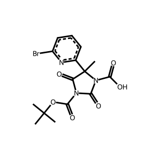 CC(C)(C)OC(=O)N1C(=O)N(C(=O)O)C(C)(c2cccc(Br)n2)C1=O